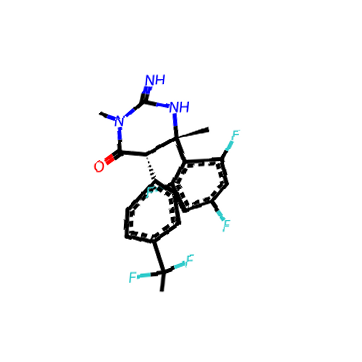 CN1C(=N)N[C@](C)(c2c(F)cc(F)cc2F)[C@H](c2ccc(C(C)(F)F)cc2)C1=O